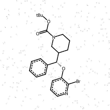 CC(C)(C)OC(=O)N1CCCC([C@H](Oc2cccnc2Br)c2ccccc2)C1